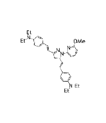 CCN(CC)c1ccc(C=CC2=NN(c3cccc(OC)n3)C(C=Cc3ccc(N(CC)CC)cc3)C2)cc1